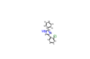 Clc1ccccc1-c1c[nH]c(-c2ccccc2)n1